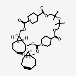 CC(C)(COC(=O)C1CCN(C(=O)OC[C@@H]2[C@@H]3CCC#CCC[C@@H]32)CC1)OC(C)(C)COC(=O)C1CCN(C(=O)OC[C@@H]2[C@@H]3CCC#CCC[C@@H]32)CC1